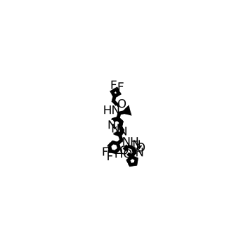 O=C(CC1CC(F)(F)C1)N[C@@H](c1cnn2cc(C(NC(=O)c3nonc3C3(O)CCCC3)C3CCC(F)(F)CC3)nc2c1)C1CC1